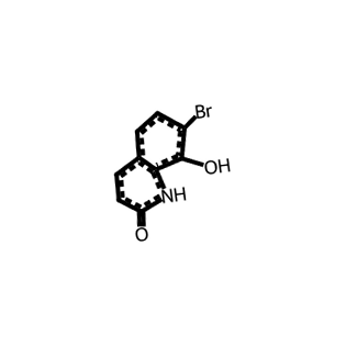 O=c1ccc2ccc(Br)c(O)c2[nH]1